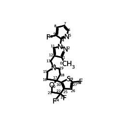 Cc1nn(-c2ncccc2F)cc1CN1CCC2(CC1)OCC(F)(F)c1cc(F)sc12